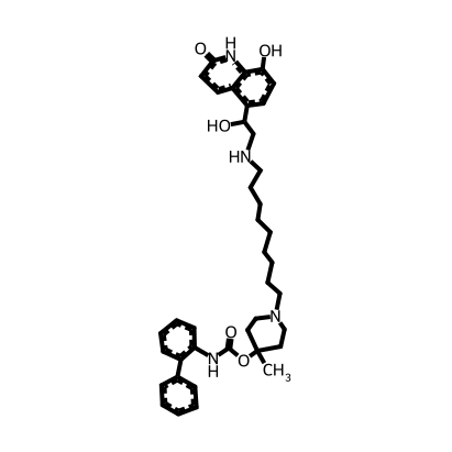 CC1(OC(=O)Nc2ccccc2-c2ccccc2)CCN(CCCCCCCCCNCC(O)c2ccc(O)c3[nH]c(=O)ccc23)CC1